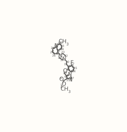 CCOC(=O)c1ncn2c1COc1c-2ccc(F)c1CCN1CCN(c2cccc3nc(C)ccc23)CC1